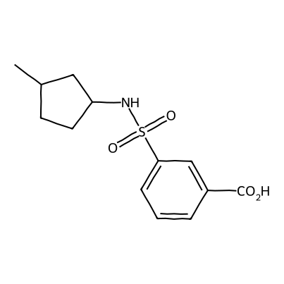 CC1CCC(NS(=O)(=O)c2cccc(C(=O)O)c2)C1